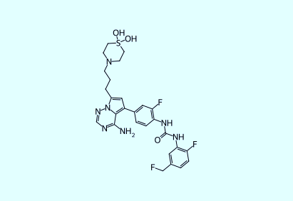 Nc1ncnn2c(CCCN3CCS(O)(O)CC3)cc(-c3ccc(NC(=O)Nc4cc(CF)ccc4F)c(F)c3)c12